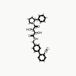 [C-]#[N+]c1ccccc1-c1ccc(CNC(=O)[C@H](O)[C@@H](O)C(=O)N2CCCC2c2ccccc2)cc1